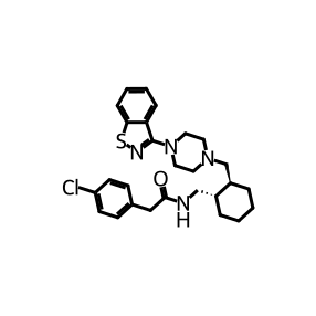 O=C(Cc1ccc(Cl)cc1)NC[C@H]1CCCC[C@@H]1CN1CCN(c2nsc3ccccc23)CC1